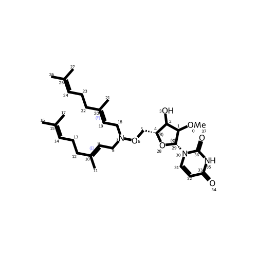 COC1C(O)[C@@H](CON(C/C=C(\C)CCC=C(C)C)C/C=C(\C)CCC=C(C)C)O[C@H]1n1ccc(=O)[nH]c1=O